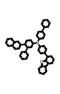 c1ccc(-c2ccc(N(c3ccc(-c4cccc5c4oc4ccccc45)cc3)c3ccc(-c4ccc5ccccc5c4)c(-c4ccccc4)c3)cc2)cc1